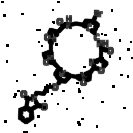 O=C1NCc2cc(Br)cc(c2)CNC(=O)c2coc(n2)-c2coc(n2)-c2cc(OCCCN3C(=O)c4ccccc4C3=O)cc(n2)-c2nc(co2)-c2nc1co2